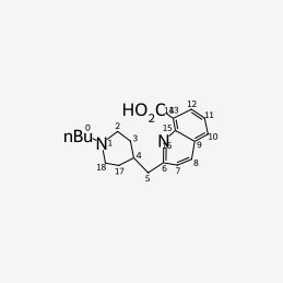 CCCCN1CCC(Cc2ccc3cccc(C(=O)O)c3n2)CC1